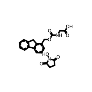 O=C(O)CNC(=O)OCc1cccc2c1Cc1ccccc1-2.O=C1CCC(=O)N1O